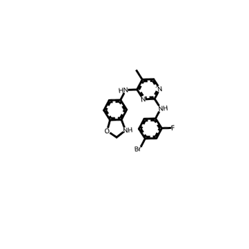 Cc1cnc(Nc2ccc(Br)cc2F)nc1Nc1ccc2c(c1)NCO2